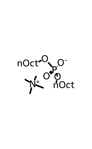 CCCCCCCCOP(=O)([O-])OCCCCCCCC.C[N+](C)(C)C